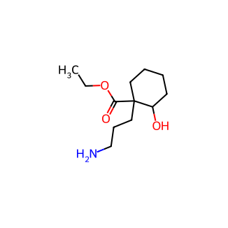 CCOC(=O)C1(CCCN)CCCCC1O